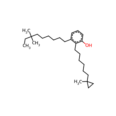 CCC(C)(C)CCCCCCc1cccc(O)c1CCCCCCC1(C)CC1